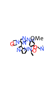 C=CC(=O)Nc1cc(Nc2ncc(N3CCOCC3)c(-c3cn(C)c4ccccc34)n2)c(OC)cc1OCCN(C)C